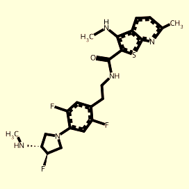 CNc1c(C(=O)NCCc2cc(F)c(N3C[C@@H](F)[C@H](NC)C3)cc2F)sc2nc(C)ccc12